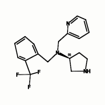 FC(F)(F)c1ccccc1CN(Cc1ccccn1)[C@H]1CCNC1